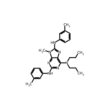 CCCN(CCC)c1nc(Nc2cccc(C)c2)nc2c1nc(Nc1cccc(C)c1)n2C